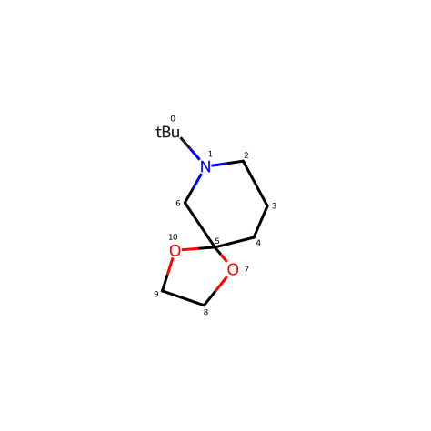 CC(C)(C)N1CCCC2(C1)OCCO2